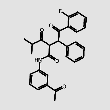 CC(=O)c1cccc(NC(=O)C(C(=O)C(C)C)C(C(=O)c2ccccc2F)c2ccccc2)c1